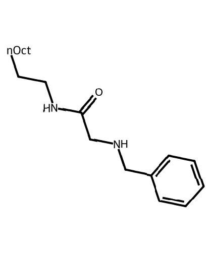 CCCCCCCCCCNC(=O)CNCc1ccccc1